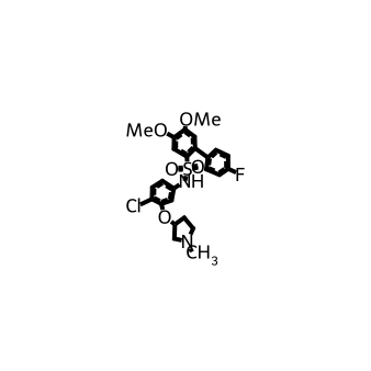 COc1cc(-c2ccc(F)cc2)c(S(=O)(=O)Nc2ccc(Cl)c(OC3CCN(C)C3)c2)cc1OC